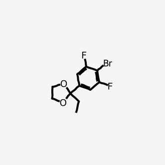 CCC1(c2cc(F)c(Br)c(F)c2)OCCO1